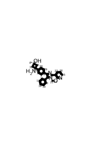 C[C@]1(O)C[C@](N)(c2ccc(-c3nc4n(c3-c3ccccc3)COc3ncccc3-4)cc2)C1